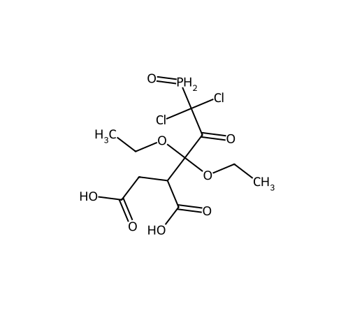 CCOC(OCC)(C(=O)C(Cl)(Cl)[PH2]=O)C(CC(=O)O)C(=O)O